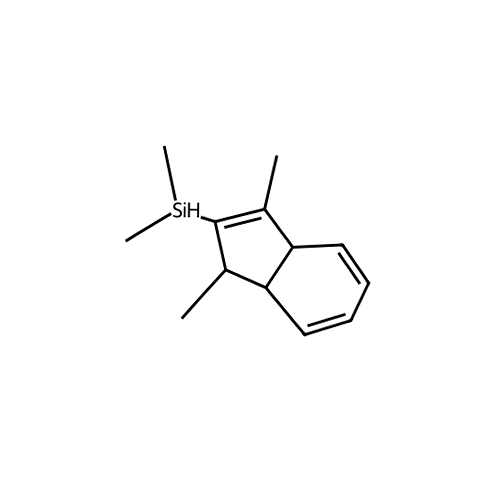 CC1=C([SiH](C)C)C(C)C2C=CC=CC12